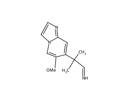 COc1cn2ccnc2cc1C(C)(C)C=N